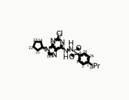 CC(C)c1ccc(S(=O)(=O)NNc2nc(Cl)nc3c2ncn3C2CCCC2)cc1